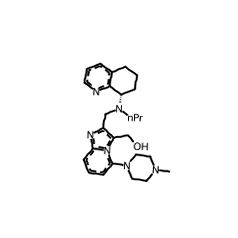 CCCN(Cc1nc2cccc(N3CCN(C)CC3)n2c1CO)[C@H]1CCCc2cccnc21